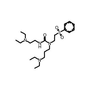 CCN(CC)CCCN(CCS(=O)(=O)c1ccccc1)C(=O)NCCN(CC)CC